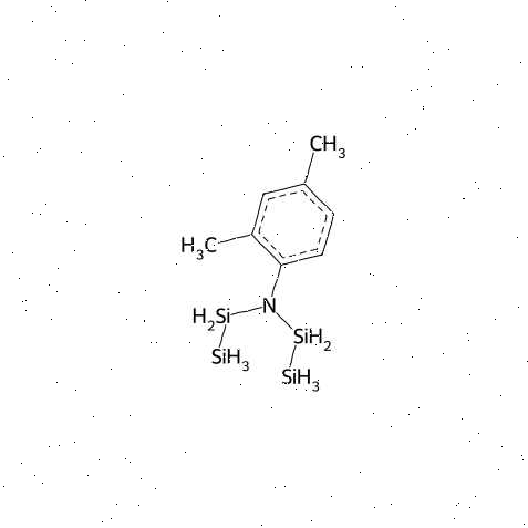 Cc1ccc(N([SiH2][SiH3])[SiH2][SiH3])c(C)c1